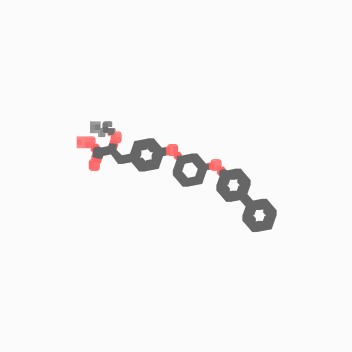 CO[C@@H](Cc1ccc(O[C@@H]2CCC[C@H](Oc3ccc(-c4ccccc4)cc3)C2)cc1)C(=O)O